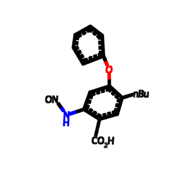 CCCCc1cc(C(=O)O)c(NN=O)cc1Oc1ccccc1